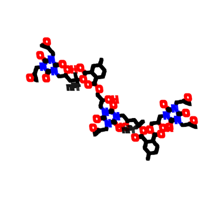 CCCC(C)(CC(O)Cn1c(=O)n(CC(O)COC(=O)C2CCC(C)CC2C(=O)OC(C)(CCC)CC(O)Cn2c(=O)n(CC3CO3)c(=O)n(CC3CO3)c2=O)c(=O)n(CC2CO2)c1=O)OC(=O)C1CC(C)CCC1C(=O)OCC(O)Cn1c(=O)n(CC2CO2)c(=O)n(CC2CO2)c1=O